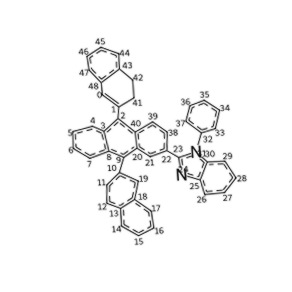 C1=C(c2c3ccccc3c(-c3ccc4ccccc4c3)c3cc(-c4nc5ccccc5n4-c4ccccc4)ccc23)CCc2ccccc21